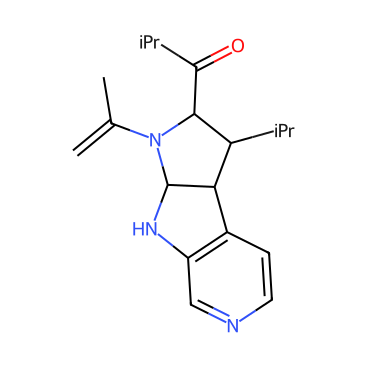 C=C(C)N1C2Nc3cnccc3C2C(C(C)C)C1C(=O)C(C)C